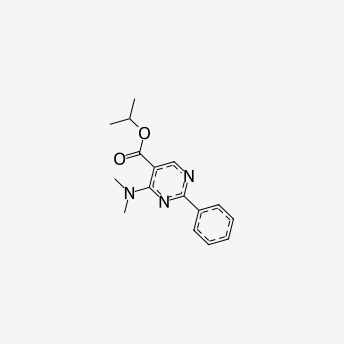 CC(C)OC(=O)c1cnc(-c2ccccc2)nc1N(C)C